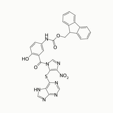 O=C(Nc1ccc(O)c(C(=O)n2cnc([N+](=O)[O-])c2Sc2ncnc3nc[nH]c23)c1)OCC1c2ccccc2-c2ccccc21